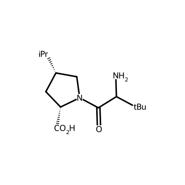 CC(C)[C@H]1C[C@@H](C(=O)O)N(C(=O)C(N)C(C)(C)C)C1